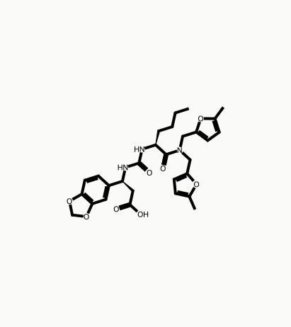 CCCC[C@H](NC(=O)N[C@@H](CC(=O)O)c1ccc2c(c1)OCO2)C(=O)N(Cc1ccc(C)o1)Cc1ccc(C)o1